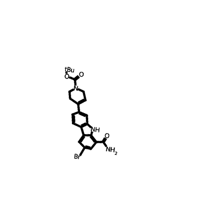 CC(C)(C)OC(=O)N1CC=C(c2ccc3c(c2)[nH]c2c(C(N)=O)cc(Br)cc23)CC1